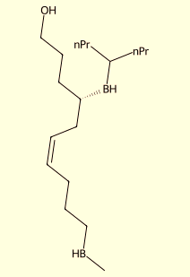 CBCCC/C=C\C[C@@H](BC(CCC)CCC)CCCO